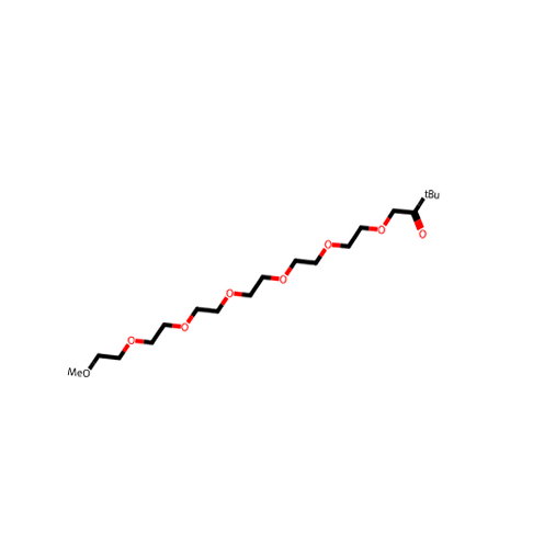 COCCOCCOCCOCCOCCOCCOCC(=O)C(C)(C)C